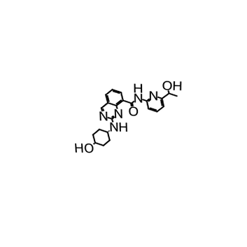 CC(O)c1cccc(NC(=O)c2cccc3cnc(N[C@H]4CC[C@H](O)CC4)nc23)n1